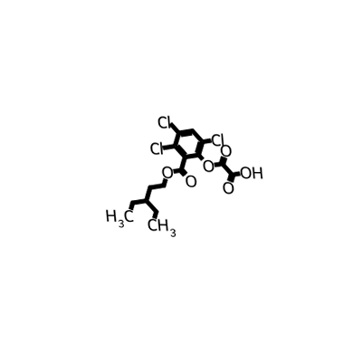 CCC(CC)CCOC(=O)c1c(Cl)c(Cl)cc(Cl)c1OC(=O)C(=O)O